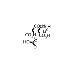 O=C(O)CC(=O)O.O=C(O)CC(=O)O.[Li+].[O-]B(O)O